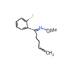 C=CCCC(=NOC)c1ccccc1F